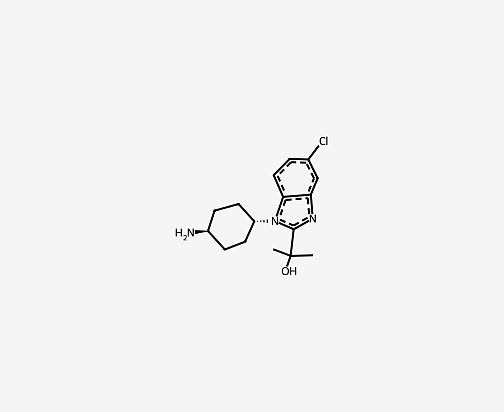 CC(C)(O)c1nc2cc(Cl)ccc2n1[C@H]1CC[C@H](N)CC1